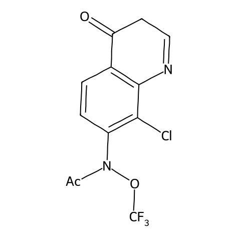 CC(=O)N(OC(F)(F)F)c1ccc2c(c1Cl)N=CCC2=O